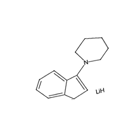 [CH]1C=C(N2CCCCC2)c2ccccc21.[LiH]